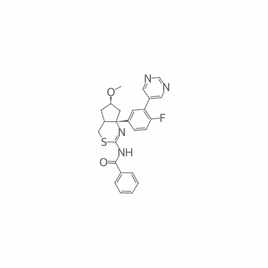 CO[C@@H]1CC2CSC(NC(=O)c3ccccc3)=N[C@@]2(c2ccc(F)c(-c3cncnc3)c2)C1